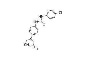 CCN(CC)c1ccc(NC(=O)Nc2ccc(Cl)cc2)cc1